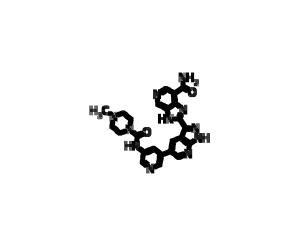 CN1CCN(C(=O)Nc2cncc(-c3cnc4[nH]nc(-c5nc6c(C(N)=O)cncc6[nH]5)c4c3)c2)CC1